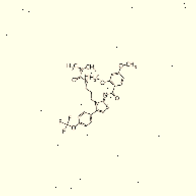 COc1ccc(C(=O)/N=c2\scc(-c3ccc(OC(F)(F)F)cc3)n2CCCNC(=O)N(C)C)c(OC)c1